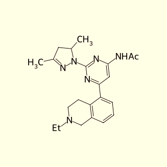 CCN1CCc2c(cccc2-c2cc(NC(C)=O)nc(N3N=C(C)CC3C)n2)C1